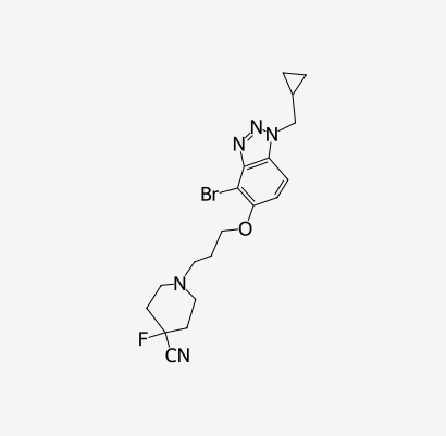 N#CC1(F)CCN(CCCOc2ccc3c(nnn3CC3CC3)c2Br)CC1